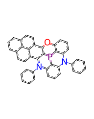 c1ccc(N2c3cccc4oc5c6ccc7cccc8ccc(c6c78)c6c5p(c34)c3c2cccc3n6-c2ccccc2)cc1